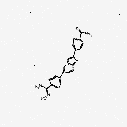 N=C(N)c1ccc(-c2cn3cc(-c4ccc(/C(N)=N/O)cc4)ccc3n2)cc1